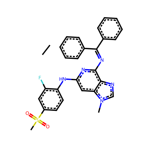 CC.Cn1cnc2c(N=C(c3ccccc3)c3ccccc3)nc(Nc3ccc(S(C)(=O)=O)cc3F)cc21